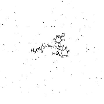 CN1CC(C#Cc2nn(CC3(CO)CCCCC3)c3cc(Cl)ncc23)C1